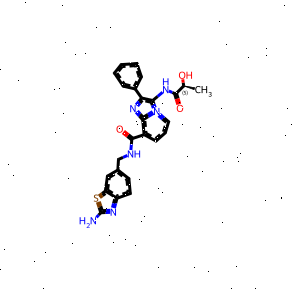 C[C@H](O)C(=O)Nc1c(-c2ccccc2)nc2c(C(=O)NCc3ccc4nc(N)sc4c3)cccn12